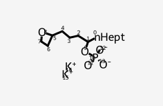 CCCCCCCC(CCCC1CCO1)OP(=O)([O-])[O-].[K+].[K+]